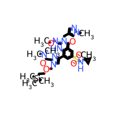 CO/N=c1\[nH]c2c(-c3cn(COCC[Si](C)(C)C)c(C(=O)N(C)C)n3)cc(S(=O)(=O)NC3(C)CC3)cc2c(=O)n1Cc1cnn(C)c1